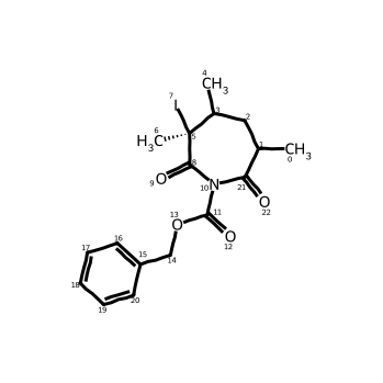 CC1CC(C)[C@](C)(I)C(=O)N(C(=O)OCc2ccccc2)C1=O